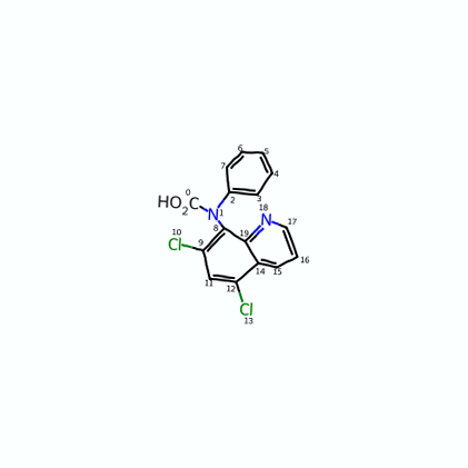 O=C(O)N(c1ccccc1)c1c(Cl)cc(Cl)c2cccnc12